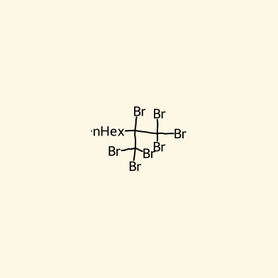 CCCCC[CH]C(Br)(C(Br)(Br)Br)C(Br)(Br)Br